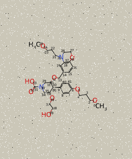 COCCCOc1ccc([C@@H]2[C@@H](OCc3ccc4c(c3)N(CCCOC)CCO4)CN(C(=O)O)C[C@H]2OCCO)cc1